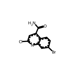 NC(=O)c1cc(Cl)nc2cc(Br)ccc12